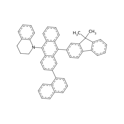 CC1(C)c2ccccc2-c2ccc(-c3c4ccccc4c(N4CCCc5ccccc54)c4ccc(-c5cccc6ccccc56)cc34)cc21